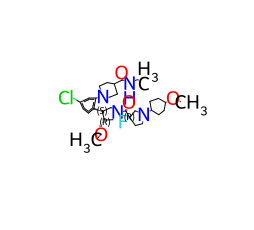 CCNC(=O)C1CCN(c2cc(Cl)ccc2[C@H]2CN(C(=O)[C@@]3(F)CCN([C@H]4CC[C@H](OC)CC4)C3)C[C@@H]2COC)CC1